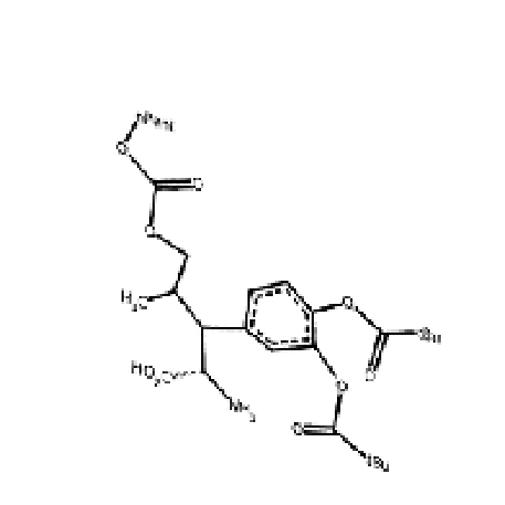 CCCCCOC(=O)OCC(C)C(c1ccc(OC(=O)C(C)(C)C)c(OC(=O)C(C)(C)C)c1)[C@H](N)C(=O)O